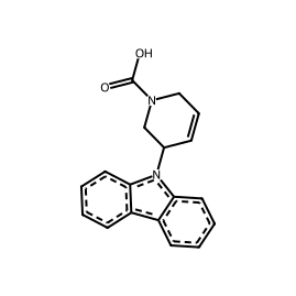 O=C(O)N1CC=CC(n2c3ccccc3c3ccccc32)C1